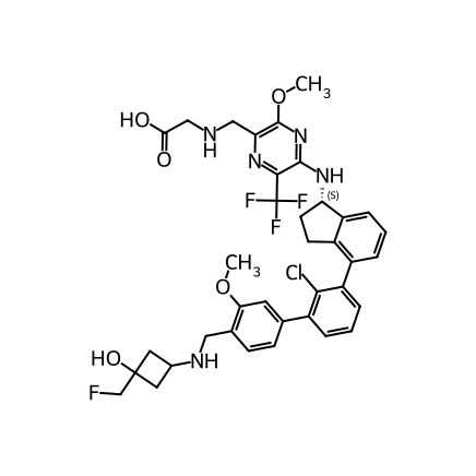 COc1cc(-c2cccc(-c3cccc4c3CC[C@@H]4Nc3nc(OC)c(CNCC(=O)O)nc3C(F)(F)F)c2Cl)ccc1CNC1CC(O)(CF)C1